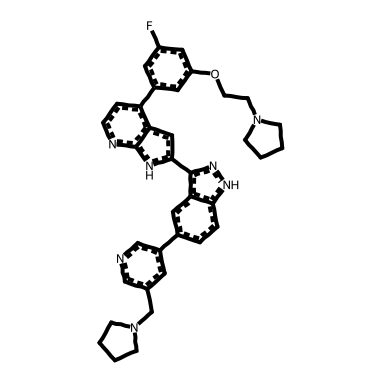 Fc1cc(OCCN2CCCC2)cc(-c2ccnc3[nH]c(-c4n[nH]c5ccc(-c6cncc(CN7CCCC7)c6)cc45)cc23)c1